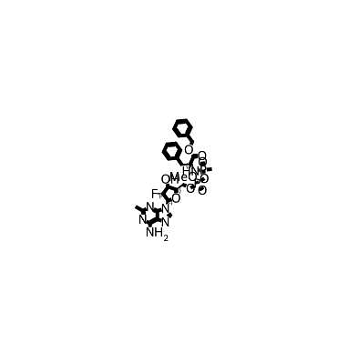 COP(=O)(OC[C@H]1O[C@@H](n2cnc3c(N)nc(C)nc32)[C@H](F)C1O)OP(C)(=O)N[C@@H](Cc1ccccc1)C(=O)OCc1ccccc1